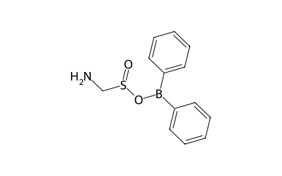 NCS(=O)OB(c1ccccc1)c1ccccc1